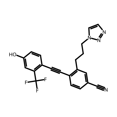 N#Cc1ccc(C#Cc2ccc(O)cc2C(F)(F)F)c(CCCn2ccnn2)c1